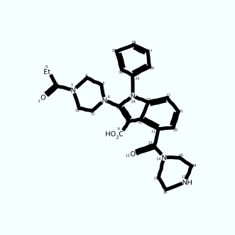 CCC(=O)N1CCN(c2c(C(=O)O)c3c(C(=O)N4CCNCC4)cccc3n2-c2ccccc2)CC1